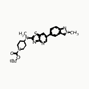 CN(c1nc2ncc(-c3ccc4nn(C)cc4c3)cc2s1)C1CCN(C(=O)OC(C)(C)C)CC1